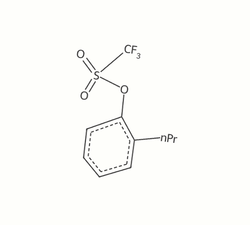 CCCc1ccccc1OS(=O)(=O)C(F)(F)F